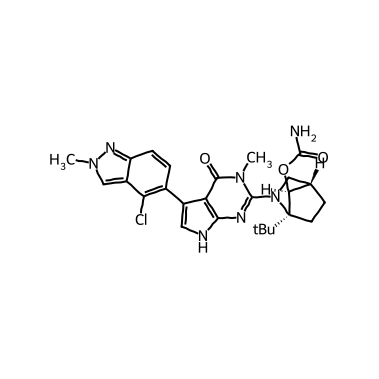 Cn1cc2c(Cl)c(-c3c[nH]c4nc(N5C[C@@H]6CC[C@]5(C(C)(C)C)[C@H]6OC(N)=O)n(C)c(=O)c34)ccc2n1